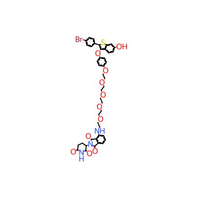 O=C1CCC(N2C(=O)c3cccc(NCCOCCOCCOCCOCCOc4ccc(Oc5c(-c6ccc(Br)cc6)sc6cc(O)ccc56)cc4)c3C2=O)C(=O)N1